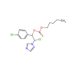 CCCCCOC(=S)OC(c1ccc(Cl)cc1)C(Cl)n1ccnc1